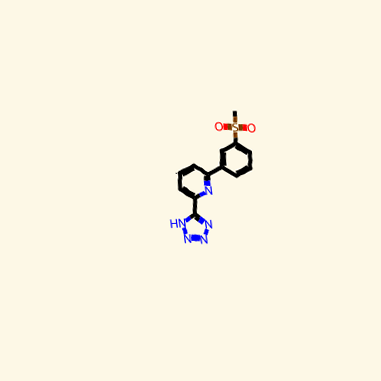 CS(=O)(=O)c1cccc(-c2c[c]cc(-c3nnn[nH]3)n2)c1